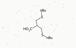 CCCCSCC(CSCCCC)C(=O)O